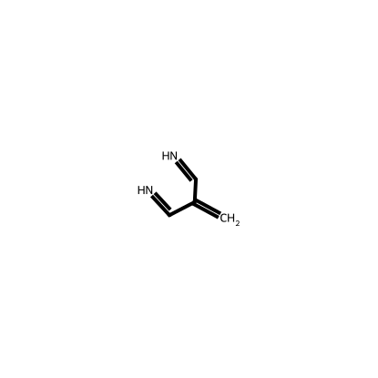 C=C(C=N)C=N